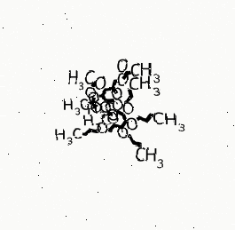 CCCCOCC1O[C@](C)(O[C@H]2OC(COC(C)=O)[C@@H](OC(C)=O)C(OC(C)=O)C2OC(C)=O)C(OCCCC)C(OCCCC)[C@@H]1OCCCC